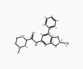 CN1CCOC(C(=O)Nc2cc3c(c(-c4ccccc4)c2)CN(C#N)C3)C1